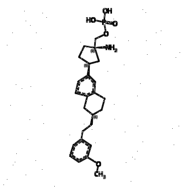 COc1cccc(CC[C@@H]2CCc3cc([C@H]4CC[C@](N)(COP(=O)(O)O)C4)ccc3C2)c1